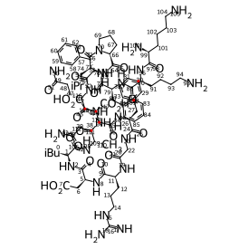 CC[C@H](C)[C@H](NC(=O)[C@H](CC(=O)O)NC(=O)[C@H](CCCNC(=N)N)NC(=O)CNC(=O)[C@H](Cc1ccccc1)NC(=O)[C@H](CCC(N)=O)NC(=O)[C@H](CCC(N)=O)NC(=O)[C@H](Cc1ccccc1)NC(=O)[C@@H]1CCCN1C(=O)[C@H](CC(C)C)NC(=O)[C@H](Cc1ccccc1)NC(=O)[C@H](CCCCN)NC(=O)[C@@H](N)CCCCN)C(=O)N[C@@H](C)C(=O)N[C@@H](CC(=O)O)C(=O)O